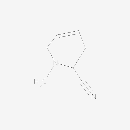 CN1CC=CCC1C#N